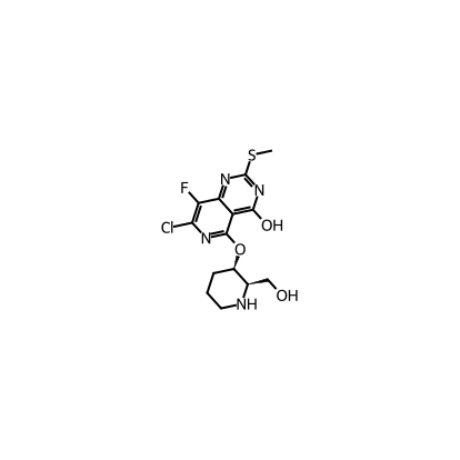 CSc1nc(O)c2c(O[C@@H]3CCCN[C@@H]3CO)nc(Cl)c(F)c2n1